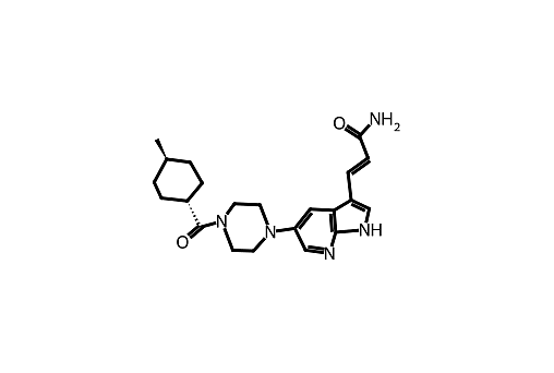 C[C@H]1CC[C@H](C(=O)N2CCN(c3cnc4[nH]cc(/C=C/C(N)=O)c4c3)CC2)CC1